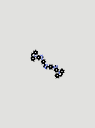 c1ccc2c(c1)CCc1ccccc1N2c1ccc2c(c1)ncn2-c1ccc(-c2cncc(-c3ccc(-n4cnc5cc(N6c7ccccc7CCc7ccccc76)ccc54)cc3)n2)cc1